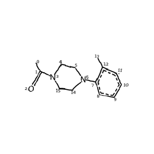 CC(=O)N1CCN(c2ccc[c]c2C)CC1